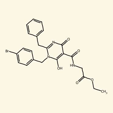 CCOC(=O)CNC(=O)c1c(O)n(Cc2ccc(Br)cc2)c(Cc2ccccc2)nc1=O